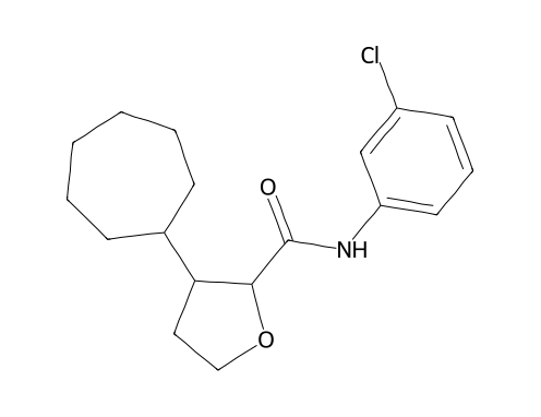 O=C(Nc1cccc(Cl)c1)C1OCCC1C1CCCCCC1